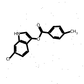 Cc1ccc(C(=O)Oc2c[nH]c3cc(Cl)ccc23)cc1